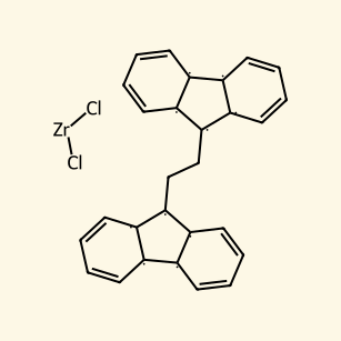 C1=C[C]2[C]3C=CC=C[C]3[C](CC[C]3[C]4C=CC=C[C]4[C]4C=CC=C[C]43)[C]2C=C1.[Cl][Zr][Cl]